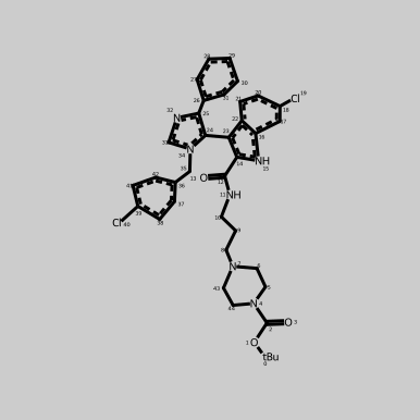 CC(C)(C)OC(=O)N1CCN(CCCNC(=O)c2[nH]c3cc(Cl)ccc3c2-c2c(-c3ccccc3)ncn2Cc2ccc(Cl)cc2)CC1